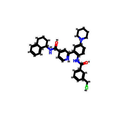 O=C(Nc1ccc(N2CCCCC2)cc1-c1cc(C(=O)NC2CCCc3ccccc32)ccn1)c1cccc(CCl)c1